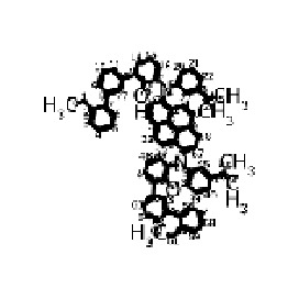 CCc1ccccc1-c1cccc(-c2cccc(N(c3cccc(C(C)C)c3)c3ccc4ccc5c(N(c6cccc(C(C)C)c6)c6cccc7c6oc6c(-c8ccccc8CC)cccc67)ccc6ccc3c4c65)c2O)c1